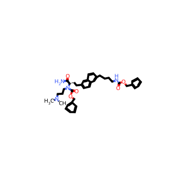 CN(C)CCCN(C(=O)OCc1ccccc1)[C@@H](CCc1ccc2cc(CCCCNC(=O)OCc3ccccc3)ccc2c1)C(N)=O